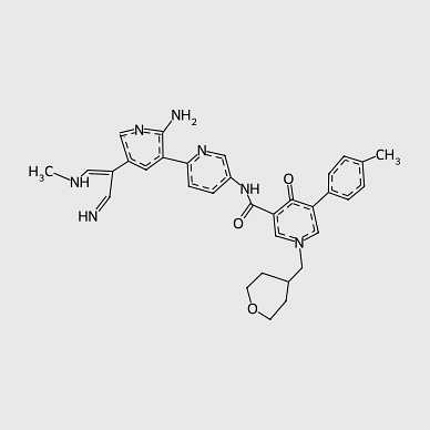 CN/C=C(\C=N)c1cnc(N)c(-c2ccc(NC(=O)c3cn(CC4CCOCC4)cc(-c4ccc(C)cc4)c3=O)cn2)c1